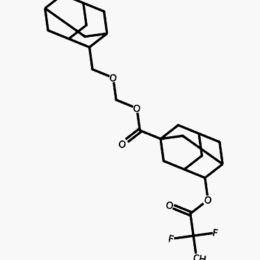 CC(F)(F)C(=O)OC1C2CC3CC1CC(C(=O)OCOCC1C4CC5CC(C4)CC1C5)(C3)C2